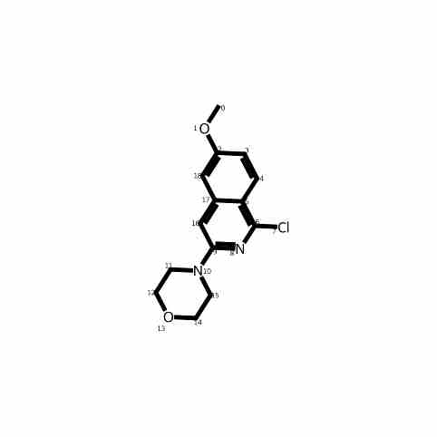 COc1ccc2c(Cl)nc(N3CCOCC3)cc2c1